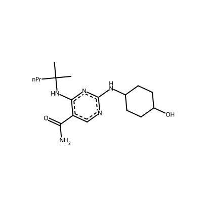 CCCC(C)(C)Nc1nc(NC2CCC(O)CC2)ncc1C(N)=O